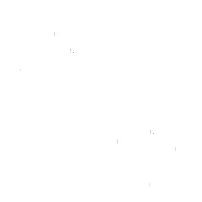 Cc1cc(C)c(N(c2ccccc2)c2ccc3c(c2)Oc2cc(C)cc4c2c-3cc2c3cc(C)ccc3c(N(c3ccccc3)c3c(C)cc(C)cc3C)cc42)c(C)c1